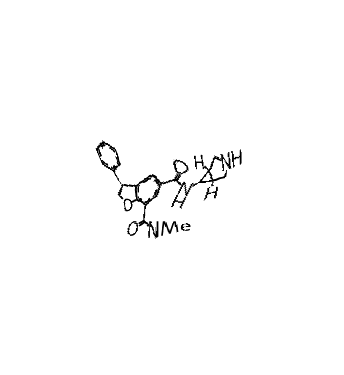 CNC(=O)c1cc(C(=O)N[C@H]2[C@@H]3CNC[C@@H]32)cc2c1OC[C@H]2c1ccccc1